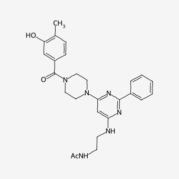 CC(=O)NCCNc1cc(N2CCN(C(=O)c3ccc(C)c(O)c3)CC2)nc(-c2ccccc2)n1